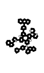 c1ccc(-c2ccc(N(c3cc4oc5c(-c6cccnc6-c6cccnc6)ccc6c7cc(-c8ccc(-c9c%10ccccc%10cc%10ccccc9%10)cc8)cc8oc9c(-c%10cccc(-c%11cccc%12ccccc%11%12)n%10)ccc(c(c3)c4c56)c9c87)c3cc4ccccc4c4ccccc34)cc2)cc1